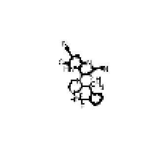 Cc1c(C#N)nc2cc(C#N)c(=O)[nH]c2c1N1CCNCC1C(C)c1ccccc1C(F)(F)F